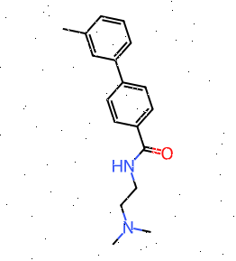 Cc1cccc(-c2ccc(C(=O)NCCN(C)C)cc2)c1